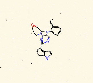 CCc1ccccc1N1CC2COCCN2c2nc(-c3cccc4[nH]ccc34)ncc21